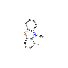 CC[n+]1c2ccccc2[s+]c2cccc(C)c21